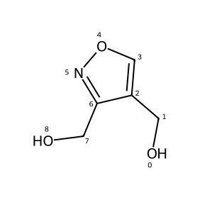 OCc1conc1CO